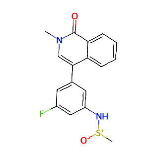 Cn1cc(-c2cc(F)cc(N[S+](C)[O-])c2)c2ccccc2c1=O